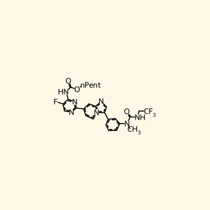 CCCCCOC(=O)Nc1nc(-c2ccn3c(-c4cccc(N(C)C(=O)NCC(F)(F)F)c4)cnc3c2)ncc1F